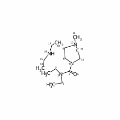 CCN(CC)C(=O)N1CCN(C)CC1.CCNCC